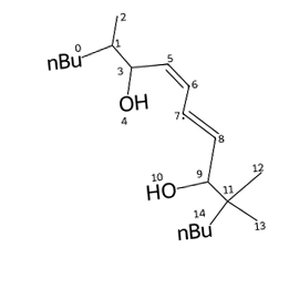 CCCCC(C)C(O)/C=C\[C]=C\C(O)C(C)(C)CCCC